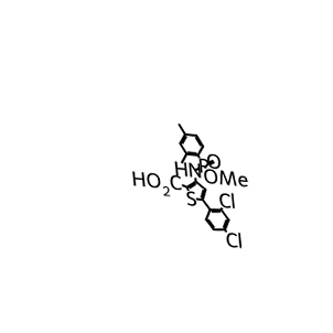 COP(=O)(Nc1cc(-c2ccc(Cl)cc2Cl)sc1C(=O)O)c1ccc(C)cc1C